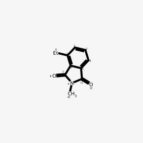 CCc1cccc2c1C(=O)N(C)C2=O